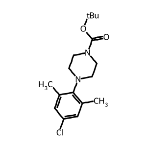 Cc1cc(Cl)cc(C)c1N1CCN(C(=O)OC(C)(C)C)CC1